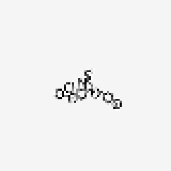 CCSc1cc(OCc2ccc(OC)cc2)c2ccc(OCCOC)c(Cl)c2n1